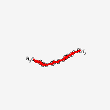 C=CC(=O)OCCCCCCOc1ccc(C(=O)Oc2ccc(OC(=O)c3ccc(OC(=O)C4CCC(OCCCCCCOC(=O)CCCCCOC(=O)CCC(=O)OCCCCCCCCOc5ccc(C(=O)Oc6ccc(OC(=O)C7CCC(C8CCC(CCCCC)CC8)CC7)cc6)cc5)CC4)cc3)cc2)cc1